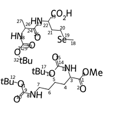 COC(=O)C(CCCCNC(=O)OC(C)(C)C)NC(=O)OC(C)(C)C.C[Se]CCC(NC(=O)C(C)NC(=O)OC(C)(C)C)C(=O)O